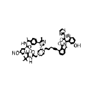 Cc1ncsc1-c1ccc([C@H](C)NC(=O)[C@@H]2C[C@@H](O)CN2C(=O)[C@@H](NC(=O)CN2CCN(CCCC#Cc3cccc4c3C(=O)N(C(C(=O)Nc3nccs3)c3cc(O)ccc3F)C4)CC2)C(C)(C)C)cc1